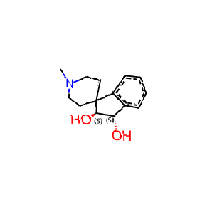 CN1CCC2(CC1)c1ccccc1[C@H](O)[C@H]2O